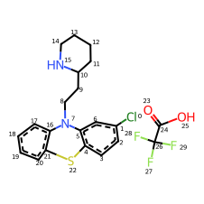 Clc1ccc2c(c1)N(CCC1CCCCN1)c1ccccc1S2.O=C(O)C(F)(F)F